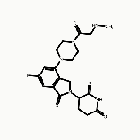 CNCC(=O)N1CCN(c2cc(F)cc3c2CN(C2CCC(=O)NC2=O)C3=O)CC1